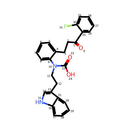 O=C(CCc1ccccc1N(CCc1c[nH]c2ccccc12)C(=O)O)c1ccccc1F